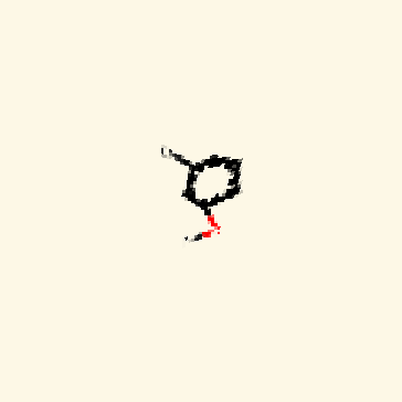 CCc1cc[c]c(OC(C)C)c1